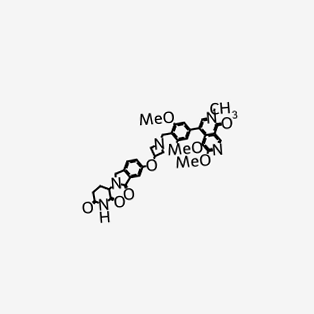 COc1cc2c(-c3cc(OC)c(CN4CC(Oc5ccc6c(c5)C(=O)N(C5CCC(=O)NC5=O)C6)C4)c(OC)c3)cn(C)c(=O)c2cn1